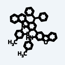 Cc1ccc(Nc2cc3oc4ccccc4c3cc2-c2cc(C(c3ccccc3)c3ccccc3)c3c4ccc5ccccc5c4n4c3c2Bc2cc(C)ccc2-4)cc1